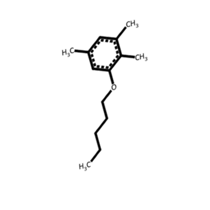 CCCCCOc1cc(C)cc(C)c1C